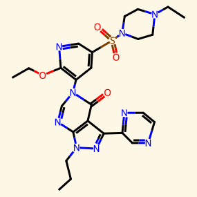 CCCn1nc(-c2cnccn2)c2c(=O)n(-c3cc(S(=O)(=O)N4CCN(CC)CC4)cnc3OCC)cnc21